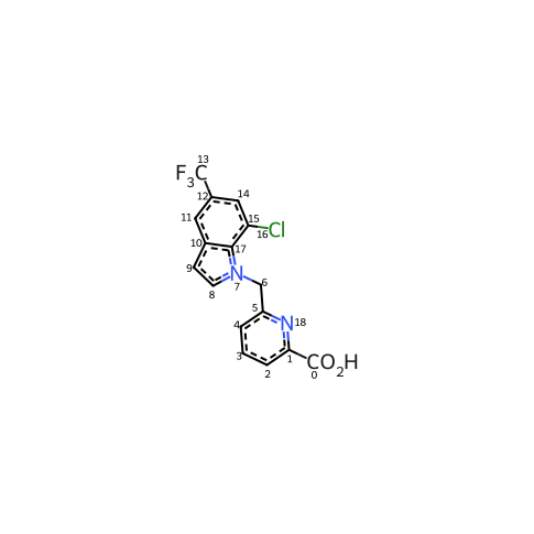 O=C(O)c1cccc(Cn2ccc3cc(C(F)(F)F)cc(Cl)c32)n1